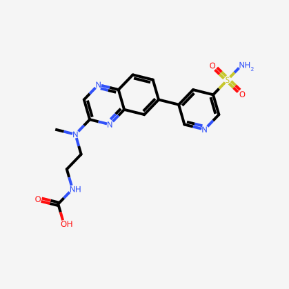 CN(CCNC(=O)O)c1cnc2ccc(-c3cncc(S(N)(=O)=O)c3)cc2n1